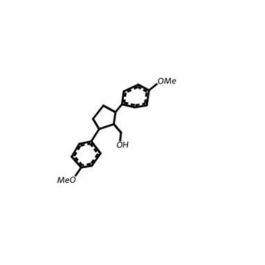 COc1ccc(C2CCC(c3ccc(OC)cc3)C2CO)cc1